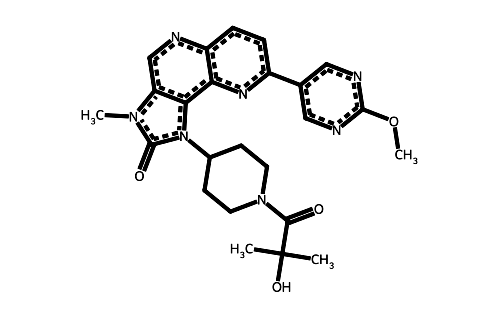 COc1ncc(-c2ccc3ncc4c(c3n2)n(C2CCN(C(=O)C(C)(C)O)CC2)c(=O)n4C)cn1